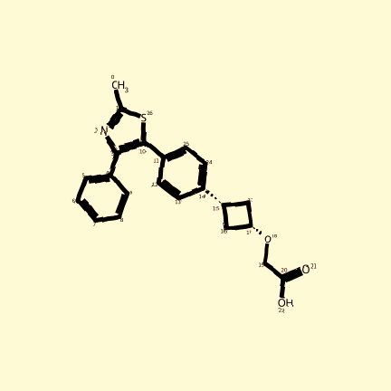 Cc1nc(-c2ccccc2)c(-c2ccc([C@H]3C[C@@H](OCC(=O)O)C3)cc2)s1